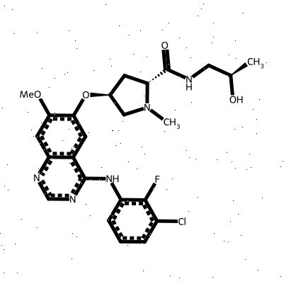 COc1cc2ncnc(Nc3cccc(Cl)c3F)c2cc1O[C@H]1C[C@H](C(=O)NC[C@@H](C)O)N(C)C1